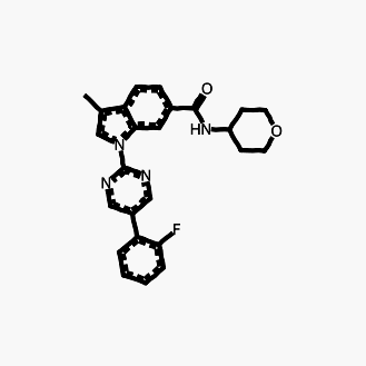 Cc1cn(-c2ncc(-c3ccccc3F)cn2)c2cc(C(=O)NC3CCOCC3)ccc12